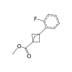 COC(=O)C12CC(c3ccccc3F)(C1)C2